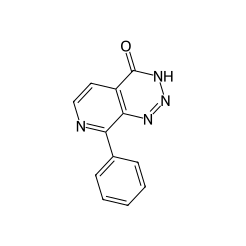 O=c1[nH]nnc2c(-c3ccccc3)nccc12